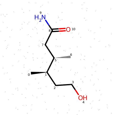 C[C@H](CCO)[C@@H](C)CC(N)=O